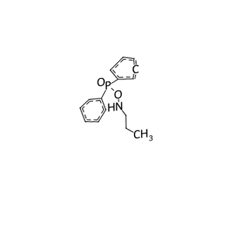 CCCNOP(=O)(c1ccccc1)c1ccccc1